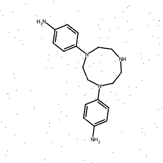 Nc1ccc(N2CCNCCN(c3ccc(N)cc3)CC2)cc1